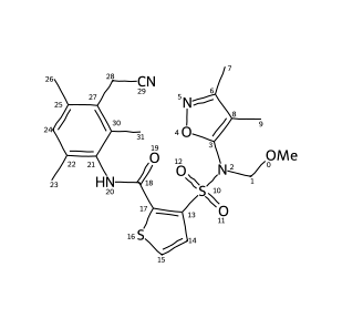 COCN(c1onc(C)c1C)S(=O)(=O)c1ccsc1C(=O)Nc1c(C)cc(C)c(CC#N)c1C